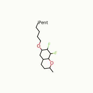 CCCC(C)CCCCOC1CC2CCC(C)OC2C(F)C1F